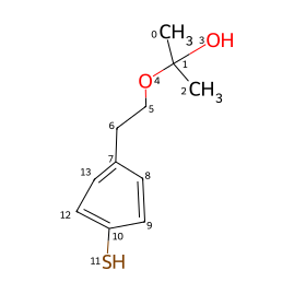 CC(C)(O)OCCc1ccc(S)cc1